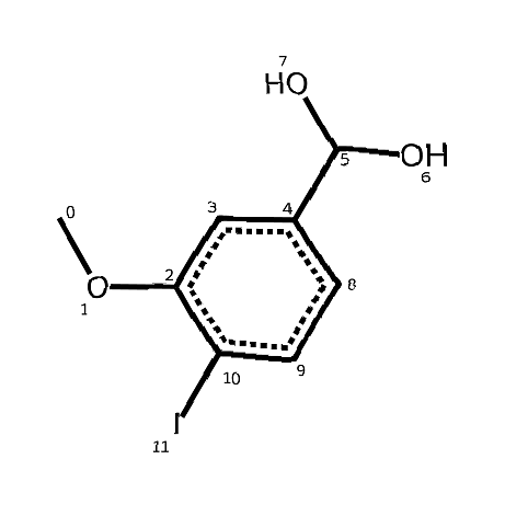 COc1cc(C(O)O)ccc1I